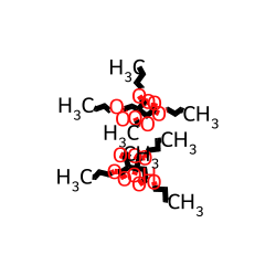 CCCCOC(=O)CC(CC(=O)OCCCC)(OC(C)=O)C(=O)OCCCC.CCCCOC(=O)CC(O)(C(=O)OCCCC)C(C(C)=O)C(=O)OCCCC